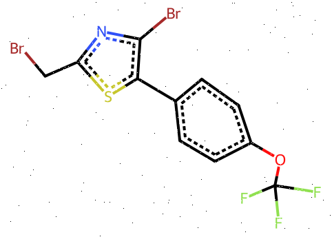 FC(F)(F)Oc1ccc(-c2sc(CBr)nc2Br)cc1